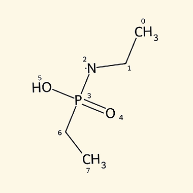 CC[N]P(=O)(O)CC